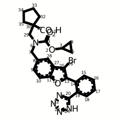 O=C(OC1CC1)N(Cc1ccc2oc(-c3ccccc3-c3nnn[nH]3)c(Br)c2c1)CC1(C(=O)O)CCCC1